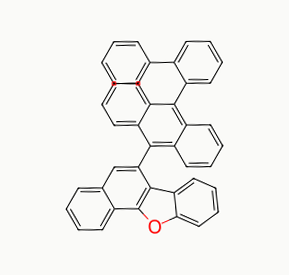 c1ccc(-c2ccccc2-c2c3ccccc3c(-c3cc4ccccc4c4oc5ccccc5c34)c3ccccc23)cc1